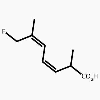 C/C(=C/C=C\C(C)C(=O)O)CF